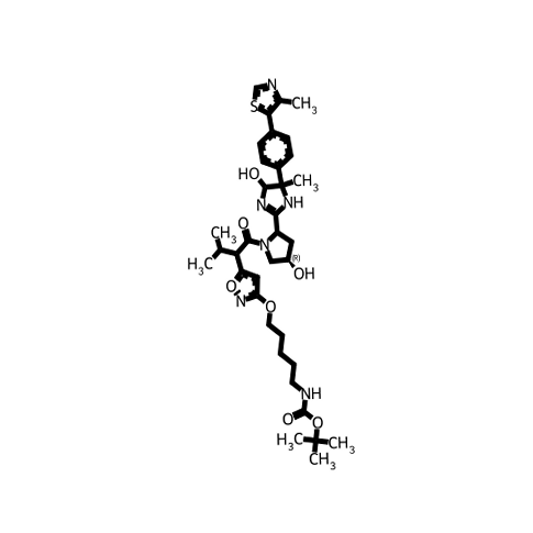 Cc1ncsc1-c1ccc(C2(C)NC(C3C[C@@H](O)CN3C(=O)C(c3cc(OCCCCCNC(=O)OC(C)(C)C)no3)C(C)C)=NC2O)cc1